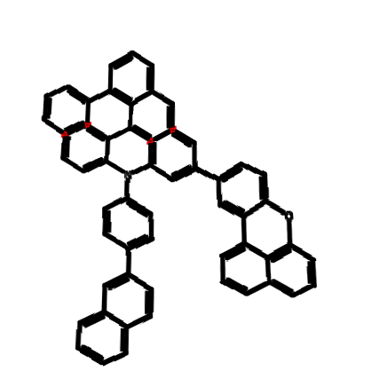 c1ccc(-c2cccc3cccc(-c4ccccc4N(c4ccc(-c5ccc6ccccc6c5)cc4)c4cccc(-c5ccc6c(c5)-c5cccc7cccc(c57)O6)c4)c23)cc1